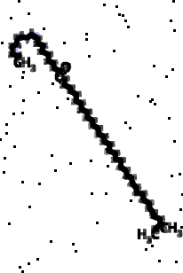 CC/C=C\C/C=C\C/C=C\CCCCCCCC(=O)OCCCCCCCCCCCCCCCCCCCCCCCCCCCCCCCCCCCC(C)CC